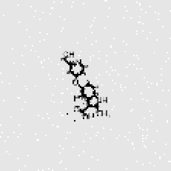 Cc1[nH]c2ccc(Oc3ccnc(CO)c3)c(F)c2c1C(=O)O